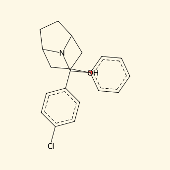 OC1(c2ccc(Cl)cc2)CC2CCC(C1)N2Cc1ccccc1